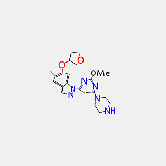 COc1nc(N2CCNCC2)cc(-n2ncc3cc(C)c(O[C@H]4CCOC4)cc32)n1